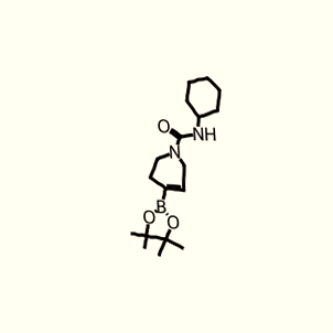 CC1(C)OB(C2=CCN(C(=O)NC3CCCCC3)CC2)OC1(C)C